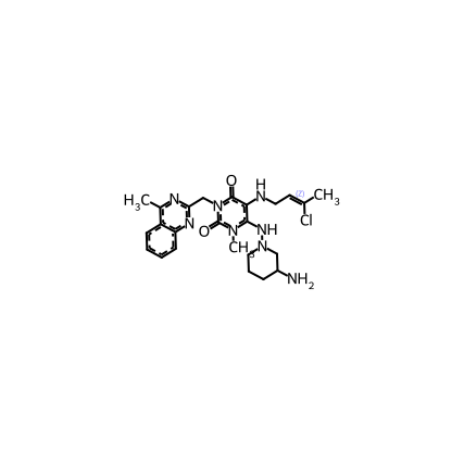 C/C(Cl)=C/CNc1c(NN2CCCC(N)C2)n(C)c(=O)n(Cc2nc(C)c3ccccc3n2)c1=O